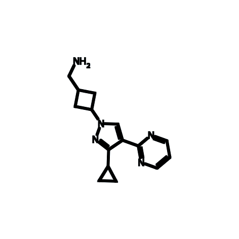 NCC1CC(n2cc(-c3ncccn3)c(C3CC3)n2)C1